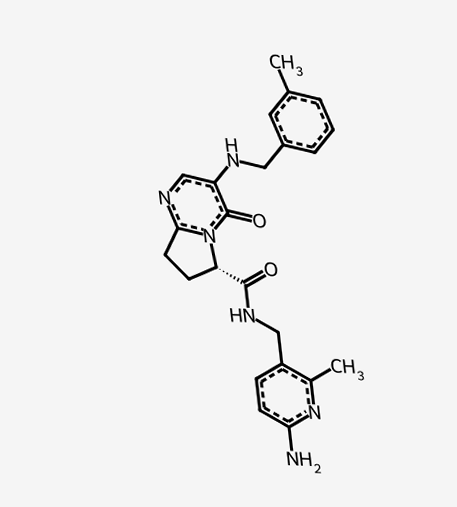 Cc1cccc(CNc2cnc3n(c2=O)[C@H](C(=O)NCc2ccc(N)nc2C)CC3)c1